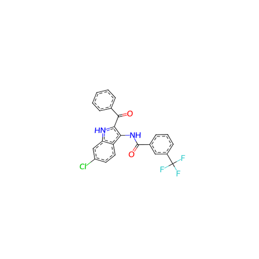 O=C(Nc1c(C(=O)c2ccccc2)[nH]c2cc(Cl)ccc12)c1cccc(C(F)(F)F)c1